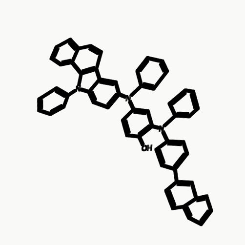 Oc1ccc(N(c2ccccc2)c2ccc3c(c2)c2ccc4ccccc4c2n3-c2ccccc2)cc1N(c1ccccc1)c1ccc(-c2ccc3ccccc3c2)cc1